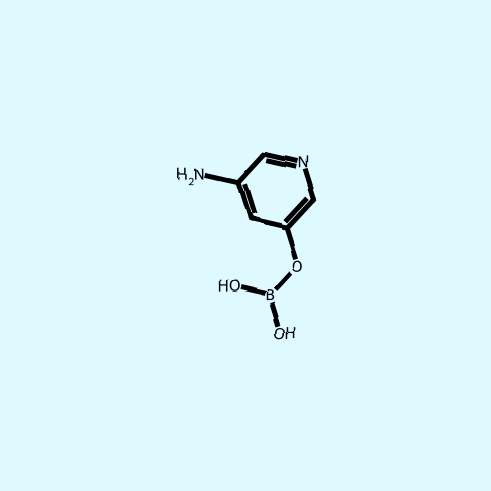 Nc1cncc(OB(O)O)c1